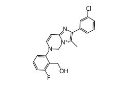 CC1=C(c2cccc(Cl)c2)N=C2C=CN(c3cccc(F)c3CO)C[N+]21